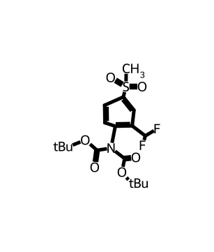 CC(C)(C)OC(=O)N(C(=O)OC(C)(C)C)c1ccc(S(C)(=O)=O)cc1C(F)F